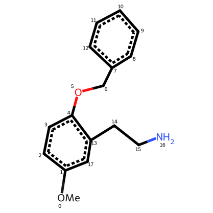 COc1ccc(OCc2ccccc2)c(CCN)c1